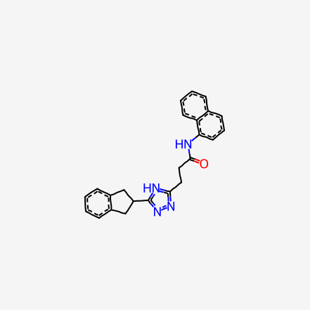 O=C(CCc1nnc(C2Cc3ccccc3C2)[nH]1)Nc1cccc2ccccc12